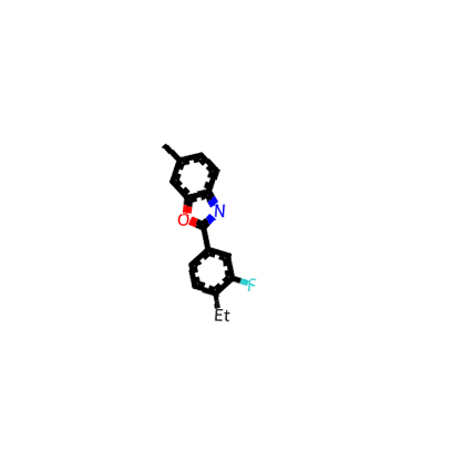 CCc1ccc(-c2nc3ccc(C)cc3o2)cc1F